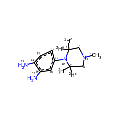 [2H]C1([2H])CN(C)CC([2H])([2H])N1c1ccc(N)c(N)c1